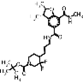 CNC(=O)c1cc(C(=O)NCCCC2CCN(C(=O)OC(C)(C)C)CC2(F)F)cc2c1O[C@H](C)[C@H]2C